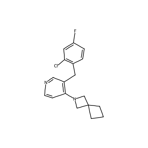 Fc1ccc(Cc2cnccc2N2CC3(CCC3)C2)c(Cl)c1